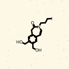 O=C1Cc2cc(CO)c(CO)cc2C=CN1CCCI